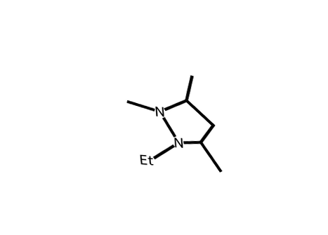 CCN1C(C)CC(C)N1C